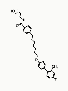 Cc1cc(F)ccc1-c1ccc(OCCCCCCCc2ccc(C(=O)NCCC(=O)O)cc2)cc1